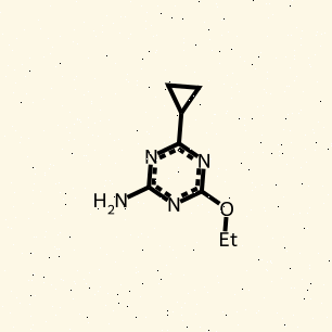 CCOc1nc(N)nc(C2CC2)n1